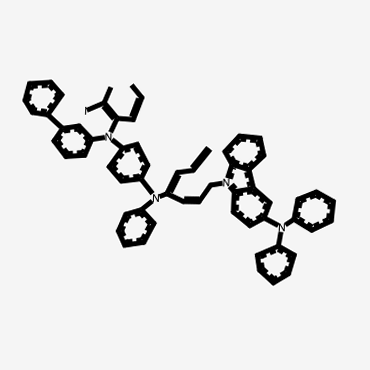 C=C/C=C(\C=C/Cn1c2ccccc2c2cc(N(c3ccccc3)c3ccccc3)ccc21)N(c1ccccc1)c1ccc(N(C(/C=C\C)=C(/C)I)c2cccc(-c3ccccc3)c2)cc1